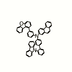 c1cc(-c2cccc3oc4ccccc4c23)cc(N(c2ccc(-c3ccccc3-n3c4ccccc4c4ccccc43)cc2)c2ccc3c(ccc4ccccc43)c2)c1